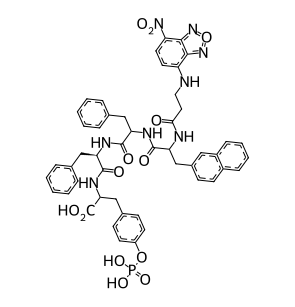 O=C(CCNc1ccc([N+](=O)[O-])c2nonc12)NC(Cc1ccc2ccccc2c1)C(=O)NC(Cc1ccccc1)C(=O)N[C@H](Cc1ccccc1)C(=O)NC(Cc1ccc(OP(=O)(O)O)cc1)C(=O)O